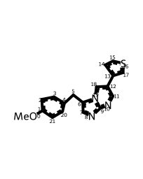 COc1ccc(Cc2cnc3ncc(-c4ccsc4)cn23)cc1